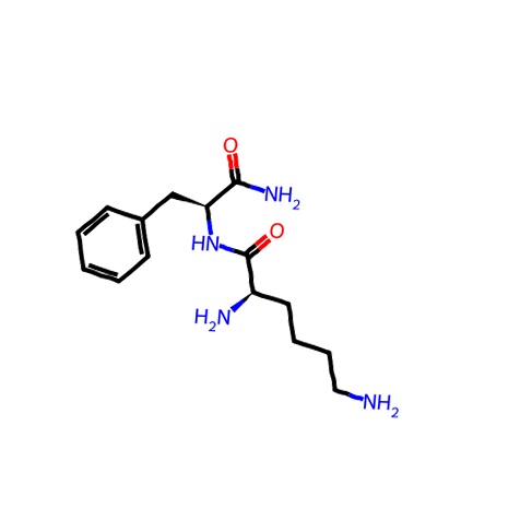 NCCCC[C@@H](N)C(=O)N[C@@H](Cc1ccccc1)C(N)=O